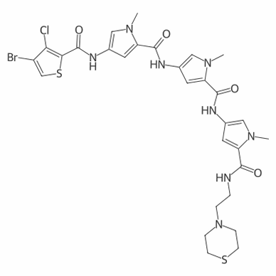 Cn1cc(NC(=O)c2cc(NC(=O)c3cc(NC(=O)c4scc(Br)c4Cl)cn3C)cn2C)cc1C(=O)NCCN1CCSCC1